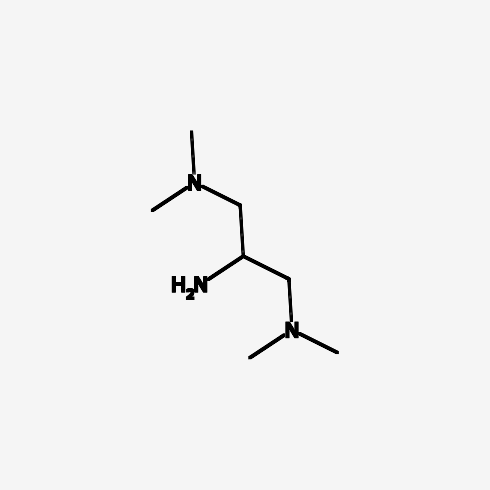 CN(C)CC(N)CN(C)C